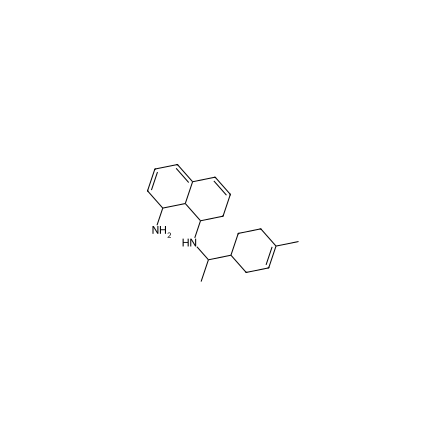 CC1=CCC(C(C)NC2CC=CC3=CC=CC(N)C32)CC1